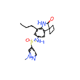 CCCc1cc(N[S+]([O-])c2cnn(C)c2)cc2c1NC(=O)C21CCC1